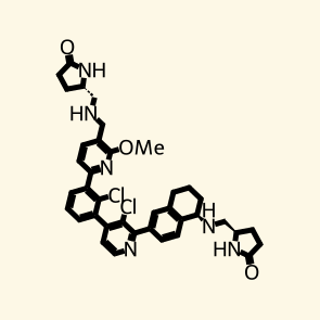 COc1nc(-c2cccc(-c3ccnc(-c4ccc5c(c4)CCC[C@H]5NC[C@H]4CCC(=O)N4)c3Cl)c2Cl)ccc1CNC[C@@H]1CCC(=O)N1